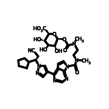 CN(CCN(C)C(=O)n1ccc2c(-c3cnn([C@H](CC#N)C4CCCC4)c3)ncnc21)C(=O)O[C@@H]1O[C@H](C(=O)O)[C@@H](O)[C@H](O)[C@H]1O